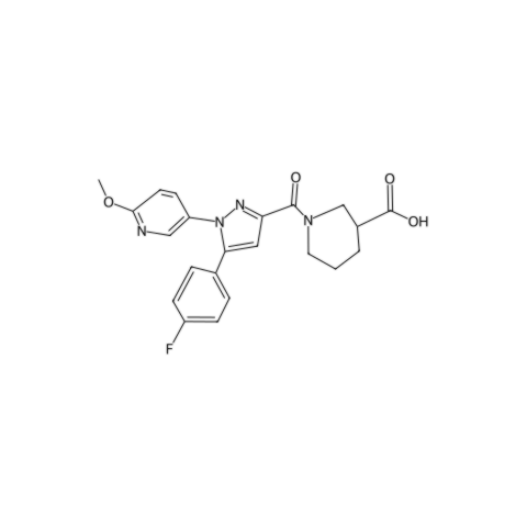 COc1ccc(-n2nc(C(=O)N3CCCC(C(=O)O)C3)cc2-c2ccc(F)cc2)cn1